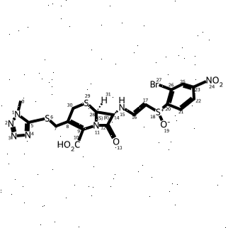 Cn1nnnc1SCC1=C(C(=O)O)N2C(=O)[C@@H](NC=C[S+]([O-])c3ccc([N+](=O)[O-])cc3Br)[C@@H]2SC1